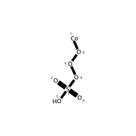 O=S(=O)(O)OO[O][Co]